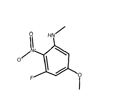 CNc1cc(OC)cc(F)c1[N+](=O)[O-]